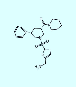 NCc1ccc(S(=O)(=O)N2C[C@@H](C(=O)N3CCCCC3)C[C@@H](c3ccccc3)C2)s1